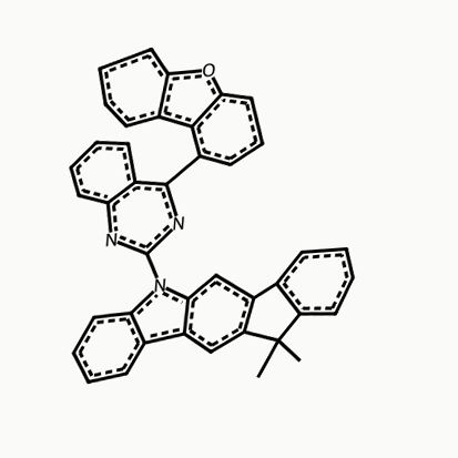 CC1(C)c2ccccc2-c2cc3c(cc21)c1ccccc1n3-c1nc(-c2cccc3oc4ccccc4c23)c2ccccc2n1